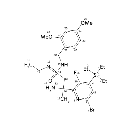 CC[Si](CC)(CC)c1cc(Br)nc(C(C)(N)CS(=O)(=NCC(F)(F)F)NCc2ccc(OC)cc2OC)c1F